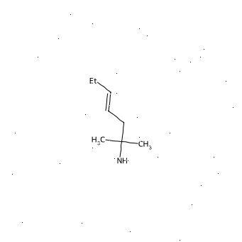 CC/C=C/CC(C)(C)[NH]